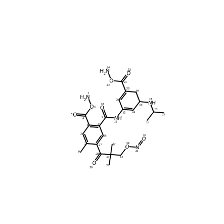 Cc1cc(C(=O)ON)c(C(=O)NC2=CC(NC(C)C)CC(C(=O)ON)=C2)cc1C(=O)C(C)(C)CON=O